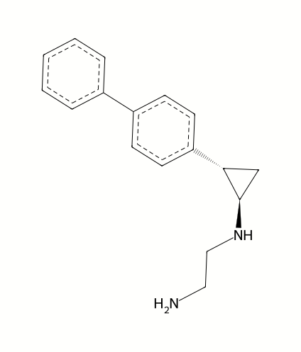 NCCN[C@@H]1C[C@H]1c1ccc(-c2ccccc2)cc1